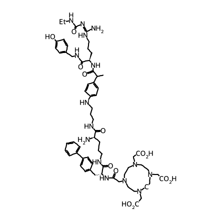 CCNC(=O)/N=C(/N)NCCC[C@@H](NC(=O)C(C)c1ccc(NCCCNC(=O)[C@H](N)CCCNC(=O)[C@@H](Cc2ccc(-c3ccccc3)cc2)NC(=O)CN2CCN(CC(=O)O)CCN(CC(=O)O)CCN(CC(=O)O)CC2)cc1)C(=O)NCc1ccc(O)cc1